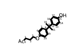 CC(=O)CCCOc1ccc(C(C)(C)c2ccc(O)cc2)cc1